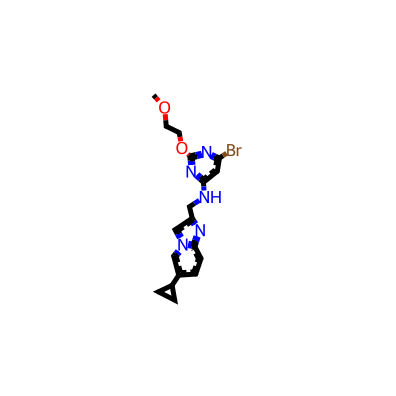 COCCOc1nc(Br)cc(NCc2cn3cc(C4CC4)ccc3n2)n1